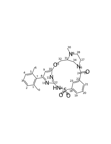 Cc1cccc(C)c1-c1cc2nc(n1)NS(=O)(=O)c1cccc(c1)C(=O)N1CCN(C)C(CO2)C1